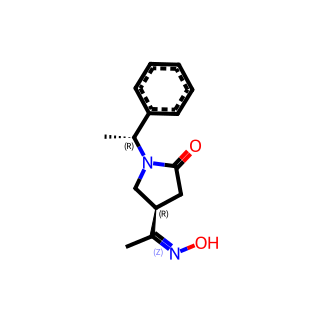 C/C(=N/O)[C@@H]1CC(=O)N([C@H](C)c2ccccc2)C1